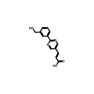 O=C(O)C=Cc1cnc(-c2cccc(CO)c2)nc1